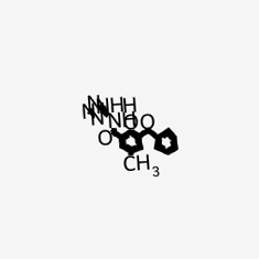 Cc1cc(C(=O)Nc2nnn[nH]2)c(O)c(C(=O)c2ccccc2)c1